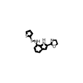 c1csc(SNc2cccc3cc(C4=NCCO4)[nH]c23)c1